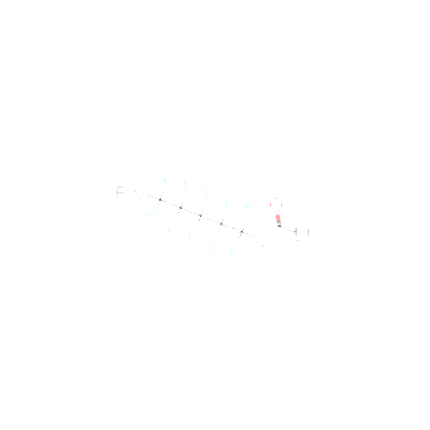 CCC(=O)OC(F)(F)C(F)(F)C(F)(F)C(F)(F)C(F)(F)C(F)(F)F